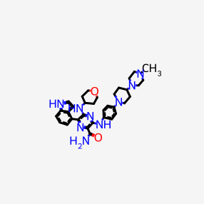 CN1CCN(C2CCN(c3ccc(Nc4nc(NC5CCOCC5)c(-c5cccc6[nH]ccc56)nc4C(N)=O)cc3)CC2)CC1